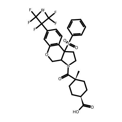 C[C@]1(C(=O)N2CCC3(S(=O)(=O)c4ccccc4)c4ccc(C(F)(C(F)(F)F)C(F)(F)F)cc4OCC23)CC[C@H](C(=O)O)CC1